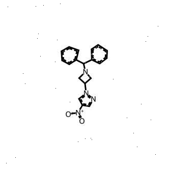 O=[N+]([O-])c1cnn(C2CN(C(c3ccccc3)c3ccccc3)C2)c1